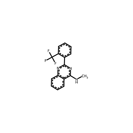 CNc1nc(-c2ccccc2C(F)(F)F)nc2ccccc12